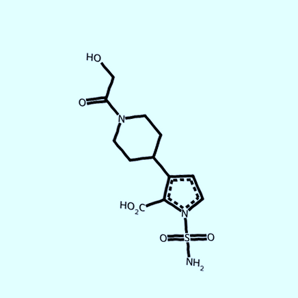 NS(=O)(=O)n1ccc(C2CCN(C(=O)CO)CC2)c1C(=O)O